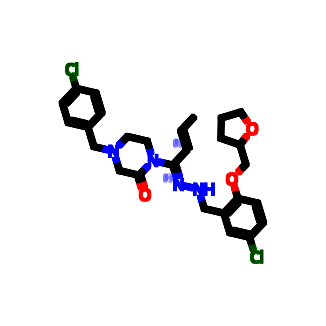 C/C=C/C(=N\NCc1cc(Cl)ccc1OCC1CCCO1)N1CCN(Cc2ccc(Cl)cc2)CC1=O